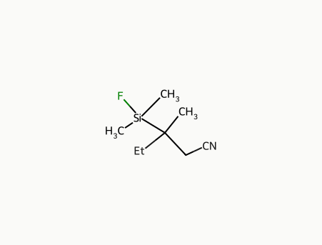 CCC(C)(CC#N)[Si](C)(C)F